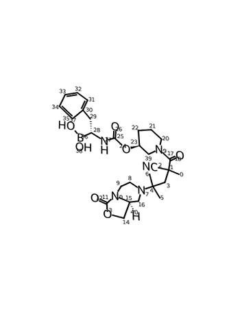 CC(C#N)(CC(C)(C)N1CCN2C(=O)OC[C@@H]2C1)C(=O)N1CCC[C@H](OC(=O)N[C@@H](Cc2ccccc2)B(O)O)C1